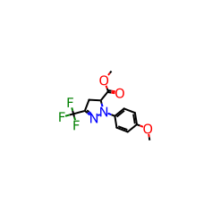 COC(=O)C1CC(C(F)(F)F)=NN1c1ccc(OC)cc1